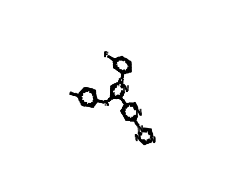 Cc1ccc(Sc2cn(-c3cccc(F)c3)nc2-c2ccc(-n3cncn3)nc2)cc1